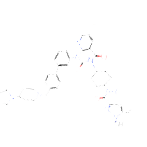 Cc1cc(C(=O)NC2CCC(n3c(=O)c4cc(F)cnc4n(-c4cccc(-c5ccc(CN6CCC(N7CCCC7)CC6)cc5)c4)c3=O)CC2)nn1C